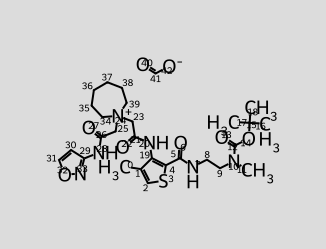 Cc1csc(C(=O)NCCN(C)C(=O)OC(C)(C)C)c1NC(=O)C[N+]1(CC(=O)Nc2ccon2)CCCCCC1.O=C[O-]